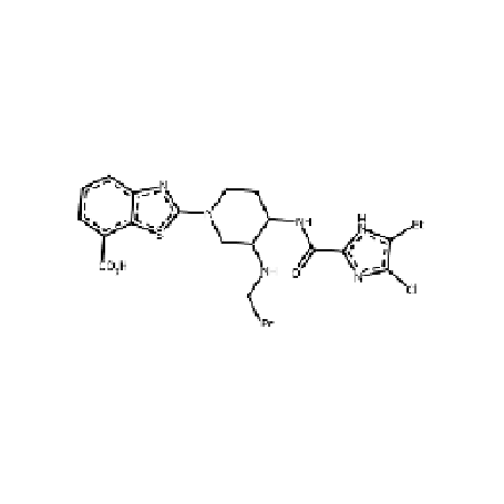 CCc1[nH]c(C(=O)NC2CCN(c3nc4cccc(C(=O)O)c4s3)CC2NCC(C)C)nc1Cl